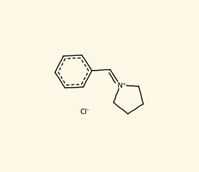 C(c1ccccc1)=[N+]1CCCC1.[Cl-]